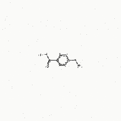 NCc1ccc(C(=O)CF)cc1